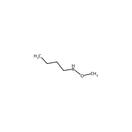 CCCCBOC